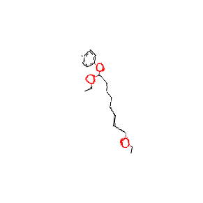 CCOCCCCCCCC(OCC)Oc1cc[c]cc1